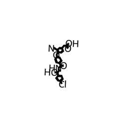 N#Cc1cc(CC(=O)O)ccc1Oc1ccc(C(=O)NCC(O)c2ccc(Cl)cc2)cc1